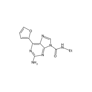 CCNC(=O)n1cnc2c(-c3ccco3)nc(N)nc21